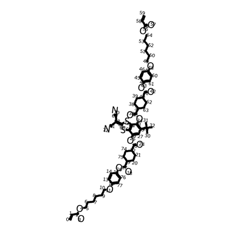 C=CC(=O)OCCCCCCOc1ccc(OC(=O)C2CCC(C(=O)Oc3cc(C(C)(C)C)c(OC(=O)C4CCC(C(=O)Oc5ccc(OCCCCCCOC(=O)C=C)cc5)CC4)c4c3SC(=C(C#N)C#N)S4)CC2)cc1